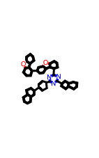 C1=CC(c2nc(-c3ccc4ccccc4c3)nc(-c3cccc4oc5cc(-c6cccc7oc8ccccc8c67)ccc5c34)n2)CC=C1c1ccc2ccccc2c1